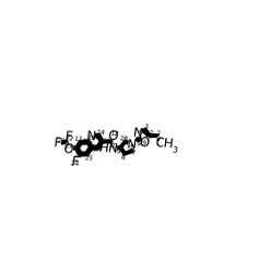 CCc1cnc(N2CCC(NC(=O)c3cnc4cc(OC(F)F)c(F)cc4c3)C2)o1